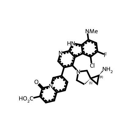 CNc1cc(F)c(Cl)c2c1[nH]c1ncc(-c3ccc4ccc(C(=O)O)c(=O)n4c3)c(N3CC[C@]4(C[C@H]4N)C3)c12